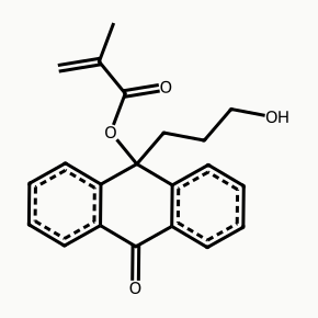 C=C(C)C(=O)OC1(CCCO)c2ccccc2C(=O)c2ccccc21